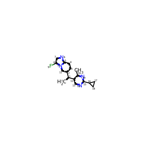 C=C(c1ccc2ncc(F)n2c1)c1cnc(C2CC2)nc1C